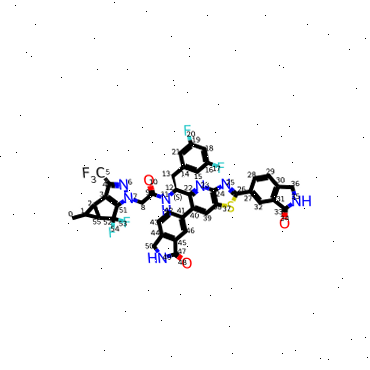 CC1C2c3c(C(F)(F)F)nn(CC(=O)N[C@@H](Cc4cc(F)cc(F)c4)c4nc5nc(-c6ccc7c(c6)C(=O)NC7)sc5cc4-c4ccc5c(c4)C(=O)NC5)c3C(F)(F)C12